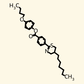 CCCCCCCC1CN=C(c2ccc(C(=O)Oc3ccc(OCCCC)cc3)cc2)SC1